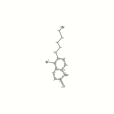 O=c1ccc2c(Br)c(OCCCCBr)ccc2[nH]1